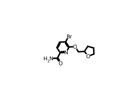 NC(=O)c1ccc(Br)c(OCC2CCCO2)n1